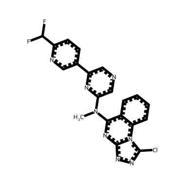 CN(c1cncc(-c2ccc(C(F)F)nc2)n1)c1nc2nnc(Cl)n2c2ccccc12